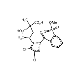 COS(=O)(=O)c1ccccc1C(=O)c1cc(Cl)c(Cl)n1C(C)CC(C)(C(=O)O)C(=O)O